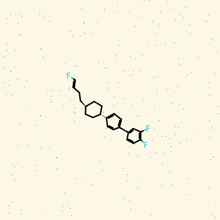 FC=CCC[C@H]1CC[C@H](c2ccc(-c3ccc(F)c(F)c3)cc2)CC1